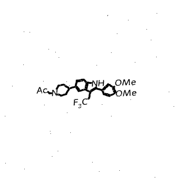 COc1ccc(-c2[nH]c3ccc(C4CCN(CC(C)=O)CC4)cc3c2CC(F)(F)F)cc1OC